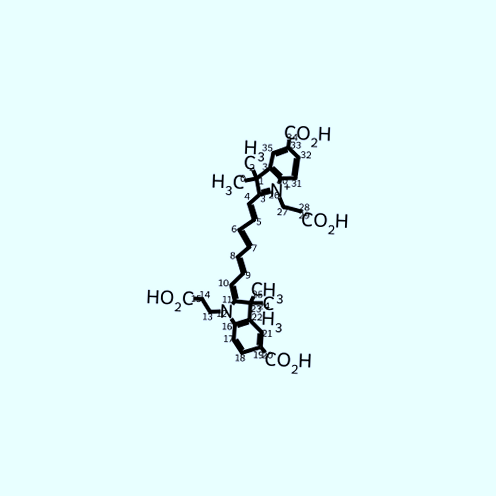 CC1(C)C(/C=C/C=C/C=C/C=C2/N(CCC(=O)O)c3ccc(C(=O)O)cc3C2(C)C)=[N+](CCC(=O)O)c2ccc(C(=O)O)cc21